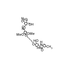 COc1cc(C2=NOC(c3cc(CO)c(CO)c(CO)c3)C2)cc(OC)c1OCCCCCCCOc1ccc(C2NC(=O)c3cc(C)ccc3N2)cc1CO